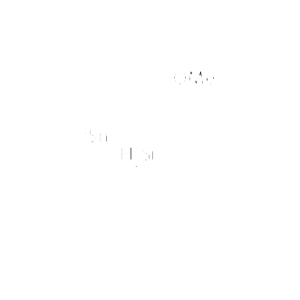 C=C[SiH2]COC.[CH3][Sn][CH3]